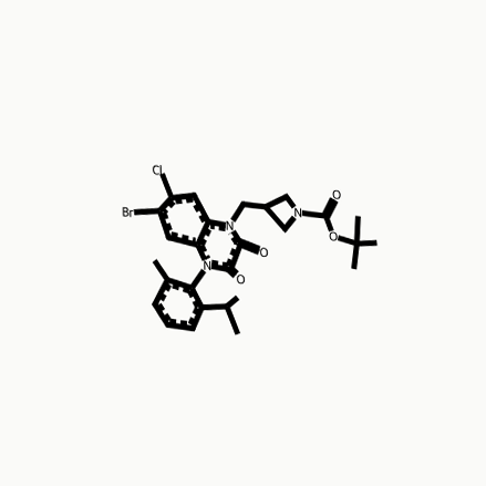 Cc1cccc(C(C)C)c1-n1c(=O)c(=O)n(CC2CN(C(=O)OC(C)(C)C)C2)c2cc(Cl)c(Br)cc21